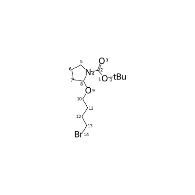 CC(C)(C)OC(=O)N1CCCC1OCCCCBr